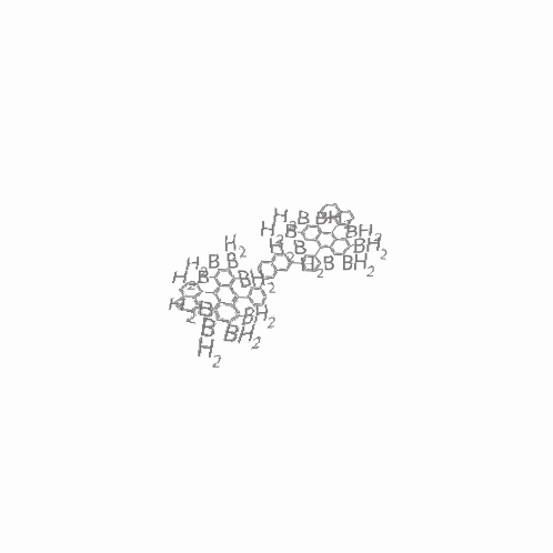 Bc1c(B)c(B)c2c(-c3cccc4ccccc34)c3c(B)c(B)c(B)c(B)c3c(-c3cccc(-c4ccc5ccc(-c6cccc(-c7c8c(B)c(B)c(B)c(B)c8c(-c8cccc9ccccc89)c8c(B)c(B)c(B)c(B)c78)c6)cc5c4)c3)c2c1B